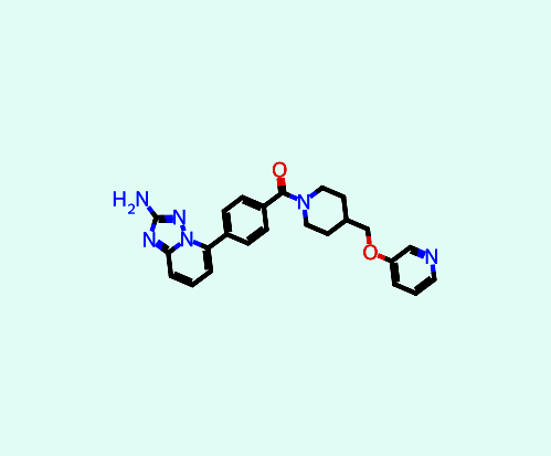 Nc1nc2cccc(-c3ccc(C(=O)N4CCC(COc5cccnc5)CC4)cc3)n2n1